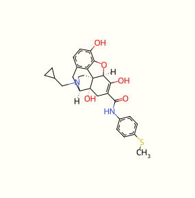 CSc1ccc(NC(=O)C2=C(O)[C@@H]3Oc4c(O)ccc5c4[C@@]34CCN(CC3CC3)[C@H](C5)[C@]4(O)C2)cc1